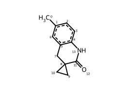 Cc1ccc2c(c1)CC1(CC1)C(=O)N2